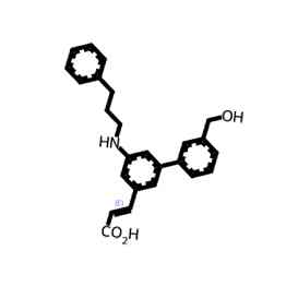 O=C(O)/C=C/c1cc(NCCCc2ccccc2)cc(-c2cccc(CO)c2)c1